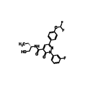 CC[C@@H](CO)NC(=O)c1cc(-c2ccc(OC(F)F)cc2)nn(-c2cccc(F)c2)c1=O